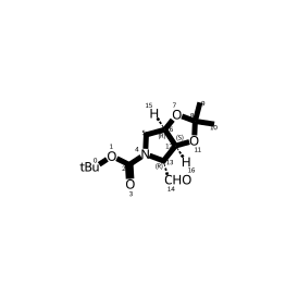 CC(C)(C)OC(=O)N1C[C@H]2OC(C)(C)O[C@H]2[C@@H]1C=O